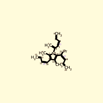 C=C/C=C\C(=C)n1c(C)c(/C=C\C=C)c(C)c1/C(=C\C=C)C(C)C